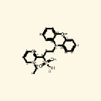 CCN1CC=CN=C1C(CCN1c2ccccc2Oc2ccccc21)S(=O)(=O)O